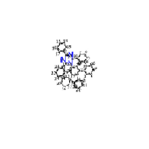 c1ccc(-c2cccc(-c3nc(-c4ccccc4)nc(-c4ccccc4-c4cccc5c4C4(CCCCC4)c4ccccc4-5)n3)c2)cc1